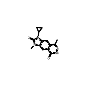 Cc1n[nH]c(=O)c2cc3c(cc12)n(C1CC1)c(=O)n3C